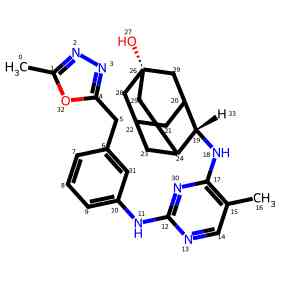 Cc1nnc(Cc2cccc(Nc3ncc(C)c(N[C@H]4C5CC6CC4C[C@@](O)(C6)C5)n3)c2)o1